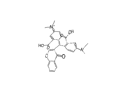 CN(C)c1ccc(/C(=C2\C=CC(=[N+](C)C)C=C2C(=O)O)c2coc3ccccc3c2=O)c(C(=O)O)c1